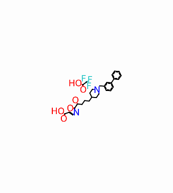 O=C(O)C(F)(F)F.O=C(O)c1cnc(C(=O)CCCC2CCN(Cc3cccc(-c4ccccc4)c3)CC2)o1